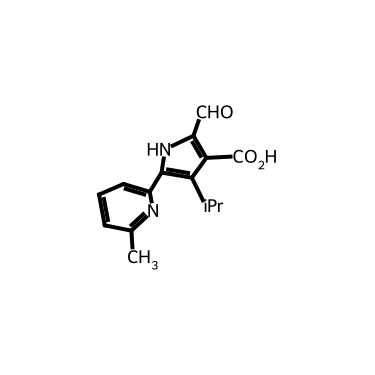 Cc1cccc(-c2[nH]c(C=O)c(C(=O)O)c2C(C)C)n1